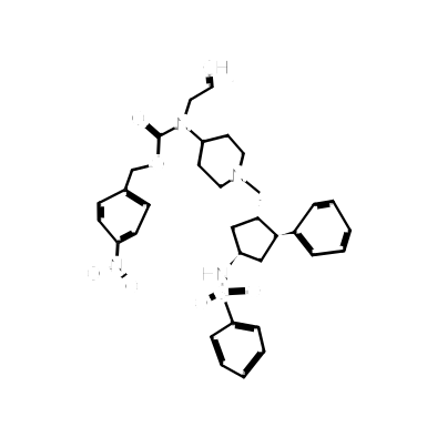 C=CCN(C(=O)OCc1ccc([N+](=O)[O-])cc1)C1CCN(C[C@H]2C[C@H](NS(=O)(=O)c3ccccc3)C[C@@H]2c2ccccc2)CC1